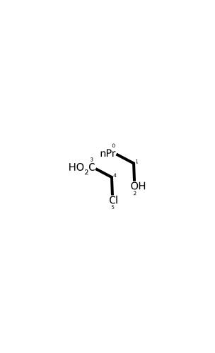 CCCCO.O=C(O)CCl